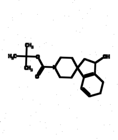 CC(C)(C)OC(=O)N1CCC2(CC1)CC(O)C1=C2C=CCC1